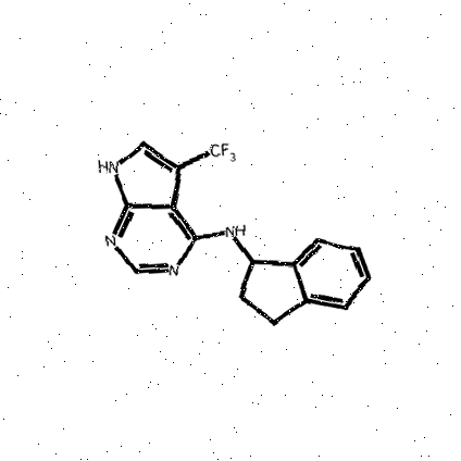 FC(F)(F)c1c[nH]c2ncnc(NC3CCc4ccccc43)c12